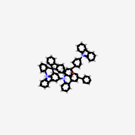 c1ccc(-c2cccc(-c3ccccc3N(c3ccc(-c4ccc(-n5c6ccccc6c6ccccc65)cc4)cc3)c3cc4c5c(c3)c3ccccc3n5-c3ccccc3C43c4ccccc4-c4ccccc43)c2)cc1